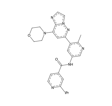 Cc1ncc(NC(=O)c2ccnc(C(C)C)c2)cc1-c1cc(N2CCOCC2)c2nccn2n1